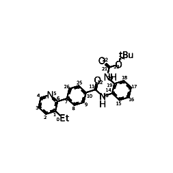 CCc1cccnc1-c1ccc(C(=O)Nc2ccccc2NC(=O)OC(C)(C)C)cc1